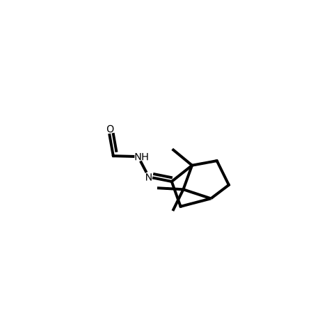 CC12CCC(CC1=NNC=O)C2(C)C